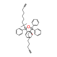 C#CCCCCCC(C)(C)[Si](O[Si](c1ccccc1)(c1ccccc1)C(C)(C)CCCCCC#C)(c1ccccc1)c1ccccc1